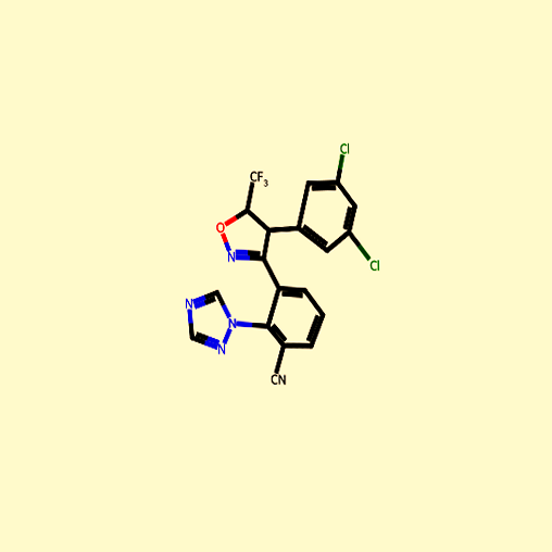 N#Cc1cccc(C2=NOC(C(F)(F)F)C2c2cc(Cl)cc(Cl)c2)c1-n1cncn1